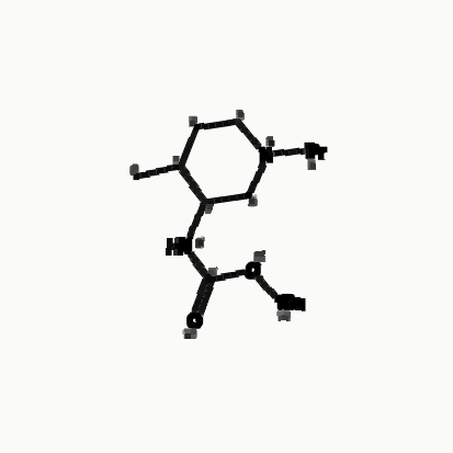 CC1CCN(C(C)C)CC1NC(=O)OC(C)(C)C